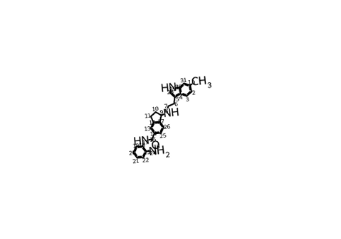 Cc1ccc2c(CCNC3CCc4cc(C(=O)Nc5ccccc5N)ccc43)c[nH]c2c1